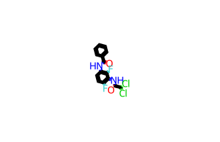 O=C(Nc1ccc(F)c(NC(=O)C(Cl)Cl)c1F)c1ccccc1